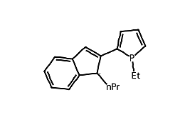 CCC[C]1C(c2cccp2CC)=Cc2ccccc21